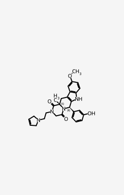 COc1ccc2[nH]c3c(c2c1)C[C@@]1(C)C(=O)N(CCN2CC=CC2)CC(=O)N1[C@@H]3c1cccc(O)c1